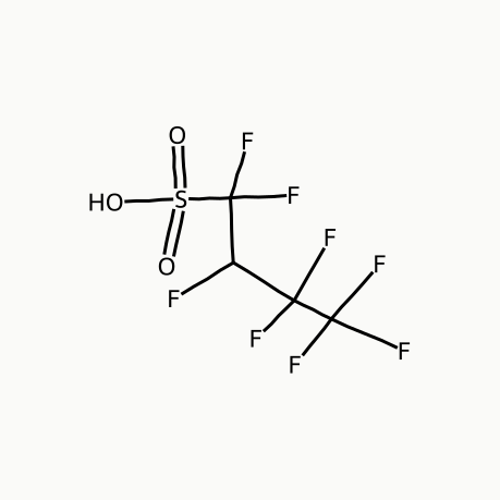 O=S(=O)(O)C(F)(F)C(F)C(F)(F)C(F)(F)F